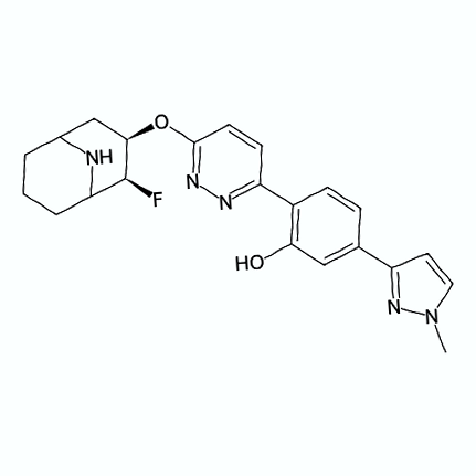 Cn1ccc(-c2ccc(-c3ccc(O[C@@H]4CC5CCCC(N5)[C@@H]4F)nn3)c(O)c2)n1